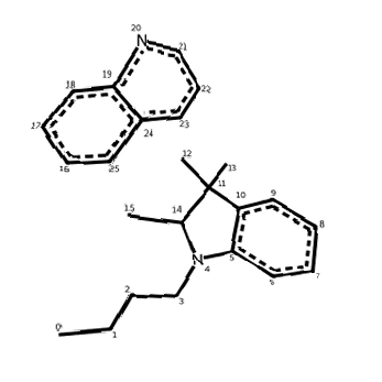 CCCCN1c2ccccc2C(C)(C)C1C.c1ccc2ncccc2c1